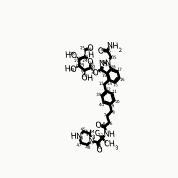 CC(C)(NC(=O)CCCc1ccc(Cc2cccc3c2c(O[C@@H]2O[C@H](CO)[C@@H](O)[C@H](O)[C@H]2O)nn3CC(N)=O)cc1)C(=O)N1CCNCC1